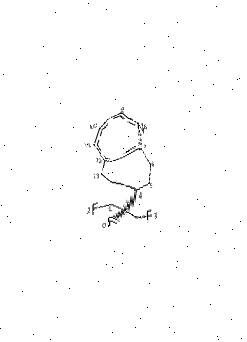 FC(F)(F)C1CCc2ncccc2C1